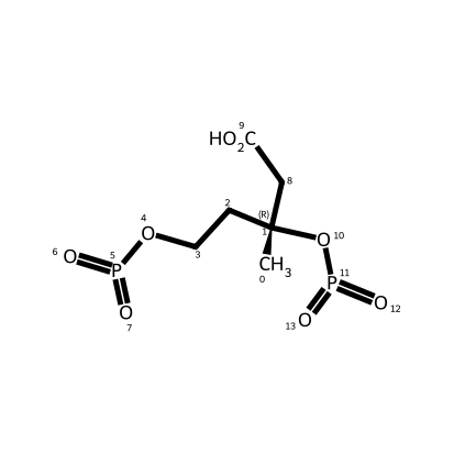 C[C@@](CCOP(=O)=O)(CC(=O)O)OP(=O)=O